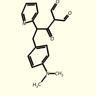 CN(C)c1ccc(CC(C(=O)C(C=O)C=O)c2ccccn2)cc1